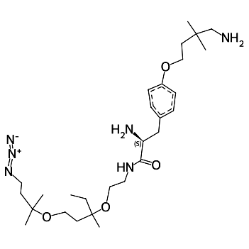 CCC(C)(CCOC(C)(C)CCN=[N+]=[N-])OCCNC(=O)[C@@H](N)Cc1ccc(OCCC(C)(C)CN)cc1